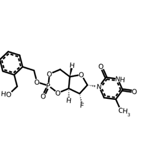 Cc1cn([C@H]2O[C@H]3COP(=O)(OCc4ccccc4CO)O[C@@H]3[C@H]2F)c(=O)[nH]c1=O